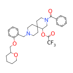 O=C(c1ccccc1)N1CCC2(CCN(Cc3ccccc3OCC3CCCCO3)CC2)C(OC(=O)C(F)(F)F)C1